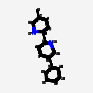 Cc1ccc(-c2ccc(-c3ccccc3)cn2)nc1